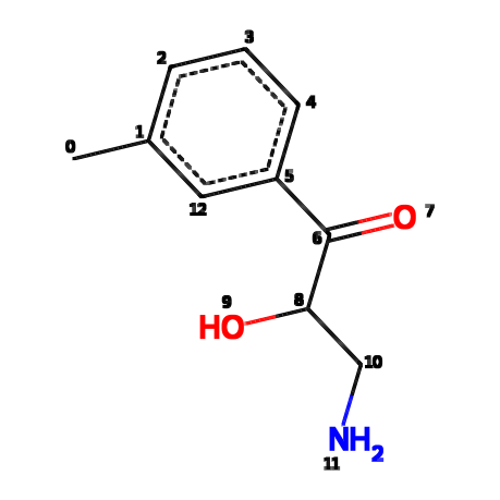 Cc1cccc(C(=O)C(O)CN)c1